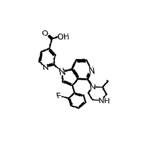 CC1CNCCN1c1nccc2c1c(-c1ccccc1F)cn2-c1cc(C(=O)O)ccn1